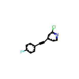 Fc1ccc(C#Cc2ccnc(Cl)c2)cc1